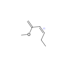 C=C(/C=C\CC)OC